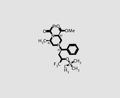 COC(=O)[C@H]1CN([C@H](CC(O[Si](C)(C)C)C(F)(F)F)c2ccccc2)C[C@@H](C)N1C(=O)C(C)C